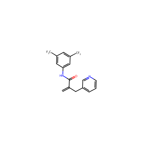 C=C(Cc1cccnc1)C(=O)Nc1cc(C(F)(F)F)cc(C(F)(F)F)c1